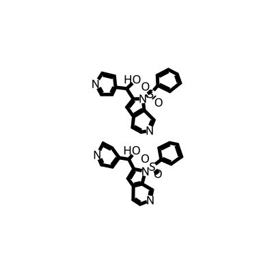 O=S(=O)(c1ccccc1)n1c(C(O)c2ccncc2)cc2ccncc21.O=S(=O)(c1ccccc1)n1c(C(O)c2ccncc2)cc2ccncc21